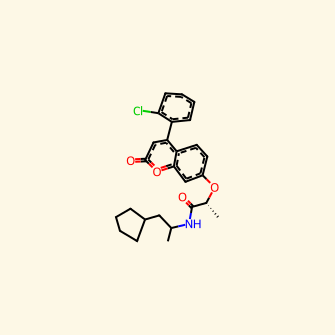 CC(CC1CCCC1)NC(=O)[C@@H](C)Oc1ccc2c(-c3ccccc3Cl)cc(=O)oc2c1